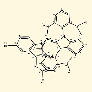 CC(C)c1cccc(C(C)C)c1-n1c(=Nn2c3ccc(Br)cc3c3cc(Br)ccc32)n(-c2c(C(C)C)cccc2C(C)C)c2nccnc21